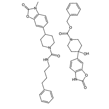 Cn1c(=O)oc2cc(C3CCN(C(=O)NCCCCc4ccccc4)CC3)ccc21.O=C(OCc1ccccc1)N1CCC(O)(c2ccc3[nH]c(=O)oc3c2)CC1